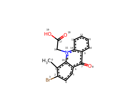 Cc1c(Br)ccc2c(=O)c3ccccc3n(CC(=O)O)c12